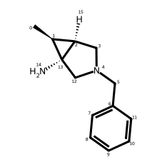 C[C@H]1[C@H]2CN(Cc3ccccc3)C[C@]21N